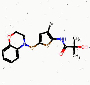 CC(=O)c1cc(SN2CCOc3ccccc32)sc1NC(=O)C(C)(C)O